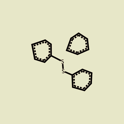 c1ccc(SSc2ccccc2)cc1.c1ccccc1